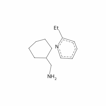 CCc1ccccn1.NCC1CCCCC1